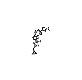 CC(C)n1ccc(-c2cnc3ccc(NC(=O)NCC4CC4)nc3n2)n1